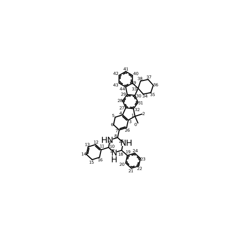 CC1(C)C2=C(CCC(C3NC(C4=CC=CCC4)NC(c4ccccc4)N3)=C2)c2cc3c(cc21)C1(CCCCC1)c1ccccc1-3